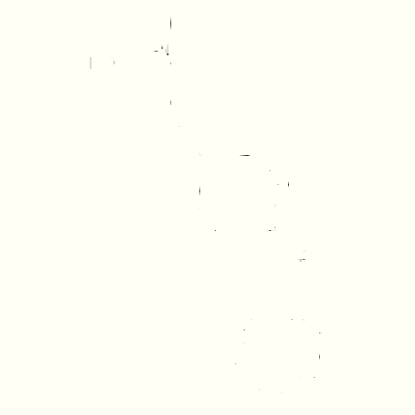 C=[N+](O)/C=C/c1ccc(Oc2ccccc2)cc1